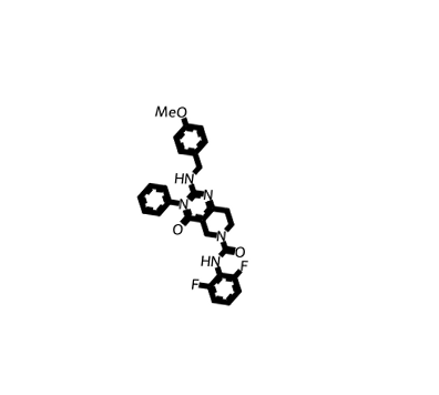 COc1ccc(CNc2nc3c(c(=O)n2-c2ccccc2)CN(C(=O)Nc2c(F)cccc2F)CC3)cc1